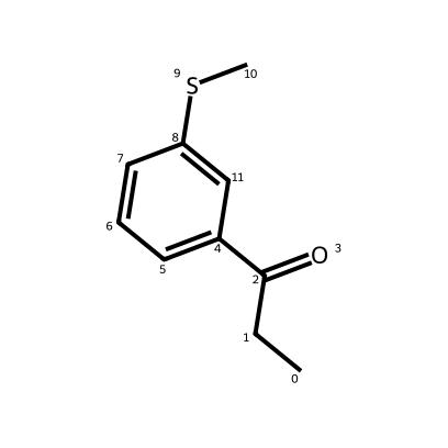 CCC(=O)c1cccc(SC)c1